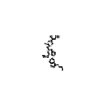 COc1nc(N[C@H]2CCN(C(=O)CO)C[C@H]2F)nn2ccc(-c3ccc4nnn(CCCF)c4c3)c12